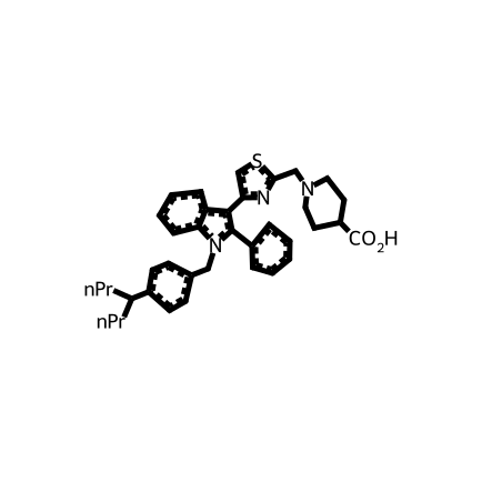 CCCC(CCC)c1ccc(Cn2c(-c3ccccc3)c(-c3csc(CN4CCC(C(=O)O)CC4)n3)c3ccccc32)cc1